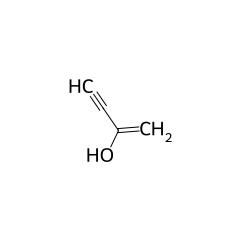 C#CC(=C)O